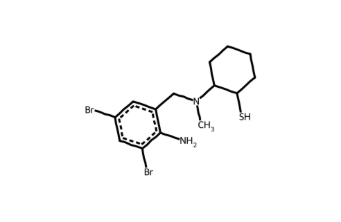 CN(Cc1cc(Br)cc(Br)c1N)C1CCCCC1S